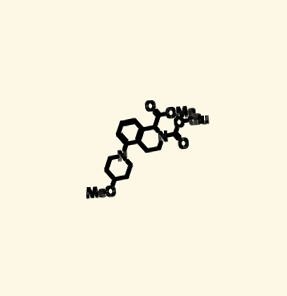 COC(=O)C1c2cccc(N3CCC(OC)CC3)c2CCN1C(=O)OC(C)(C)C